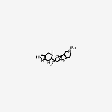 CC(C)(Cn1cc2c(n1)CCN(C(C)(C)C)C2)C1Cc2n[nH]cc2CN1